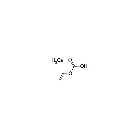 C=COC(=O)O.[CaH2]